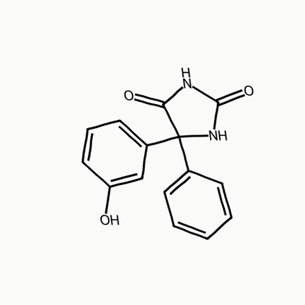 O=C1NC(=O)C(c2ccccc2)(c2cccc(O)c2)N1